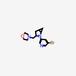 Brc1cncc(N2C(CN3CCOCC3)CC3CC32)c1